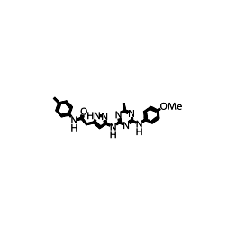 COc1ccc(Nc2nc(C)nc(Nc3cc(CC(=O)Nc4ccc(C)cc4)[nH]n3)n2)cc1